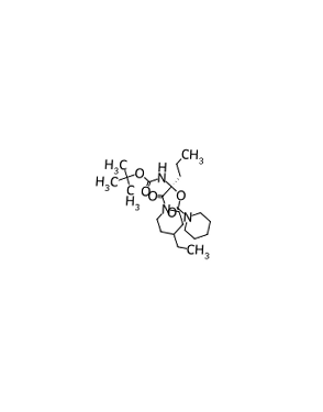 CCC[C@](NC(=O)OC(C)(C)C)(OC(=O)N1CCCCC1)C(=O)N1CCC(CC)CC1